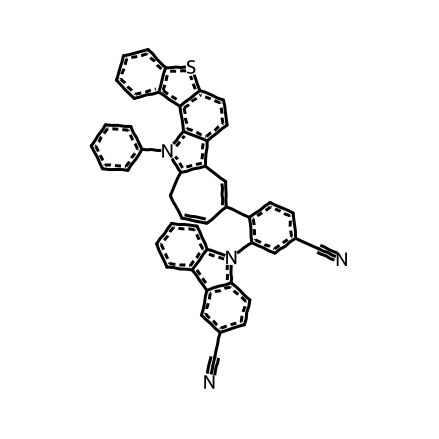 N#Cc1ccc(C2=Cc3c(n(-c4ccccc4)c4c3ccc3sc5ccccc5c34)CC=C2)c(-n2c3ccccc3c3cc(C#N)ccc32)c1